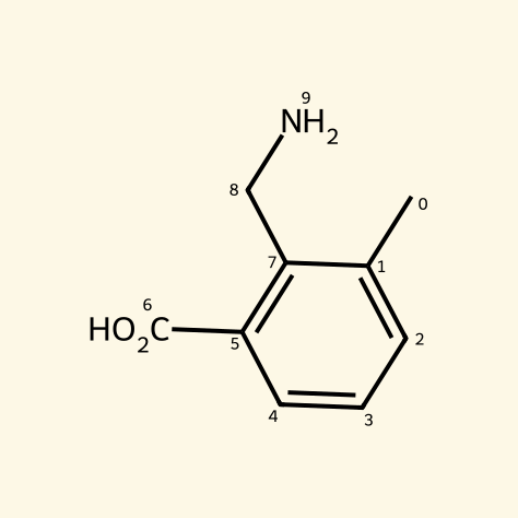 Cc1cccc(C(=O)O)c1CN